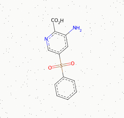 Nc1cc(S(=O)(=O)c2ccccc2)cnc1C(=O)O